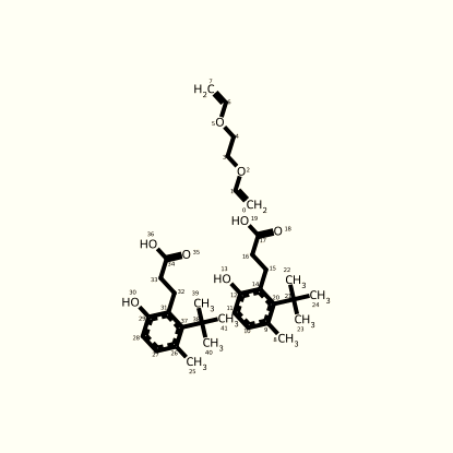 C=COCCOC=C.Cc1ccc(O)c(CCC(=O)O)c1C(C)(C)C.Cc1ccc(O)c(CCC(=O)O)c1C(C)(C)C